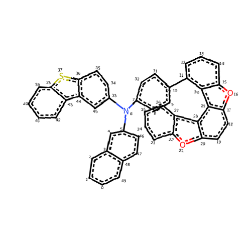 c1ccc2cc(N(c3ccc(-c4cccc5oc6ccc7oc8ccccc8c7c6c45)cc3)c3ccc4sc5ccccc5c4c3)ccc2c1